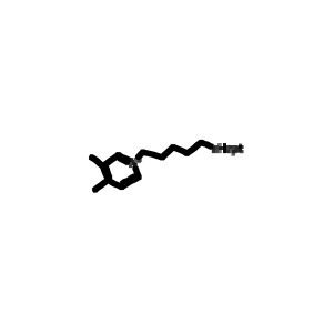 CCCCCCCCCCCC[n+]1ccc(C)c(C)c1